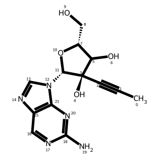 CC#C[C@@]1(O)C(O)[C@@H](CO)O[C@H]1n1cnc2cnc(N)nc21